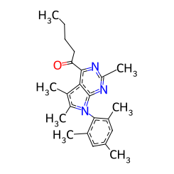 CCCCC(=O)c1nc(C)nc2c1c(C)c(C)n2-c1c(C)cc(C)cc1C